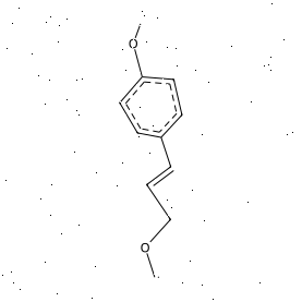 [CH2]OC/C=C/c1ccc(OC)cc1